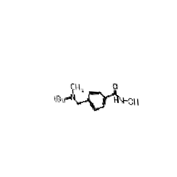 CN(Cc1ccc(C(=O)NO)cc1)C(C)(C)C